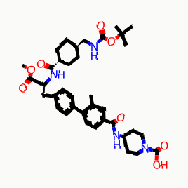 COC(=O)[C@H](Cc1ccc(-c2ccc(C(=O)NC3CCN(C(=O)O)CC3)cc2C)cc1)NC(=O)[C@H]1CC[C@H](CNC(=O)OC(C)(C)C)CC1